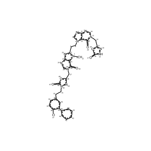 Cn1c(CCn2cnc3ncn(Cc4n[nH]c(=O)o4)c(=O)c32)nc2ncn(Cc3nn(CCc4ccc(Cl)c(-c5ccccc5)c4)c(=O)o3)c(=O)c21